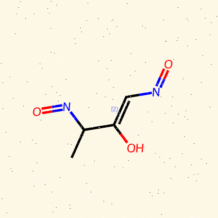 CC(N=O)/C(O)=C/N=O